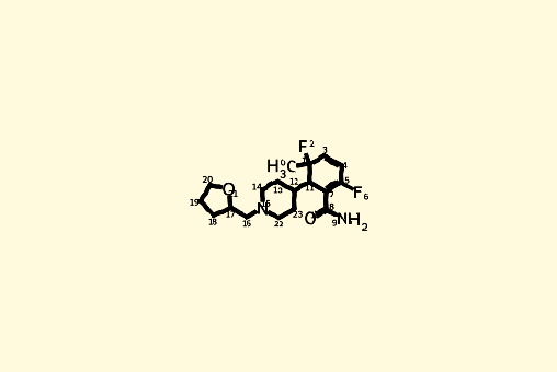 CC1(F)C=CC(F)=C(C(N)=O)C1C1CCN(CC2CCCO2)CC1